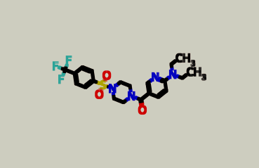 CCN(CC)c1ccc(C(=O)N2CCN(S(=O)(=O)c3ccc(C(F)(F)F)cc3)CC2)cn1